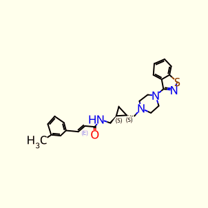 Cc1cccc(/C=C/C(=O)NC[C@H]2C[C@@H]2CN2CCN(c3nsc4ccccc34)CC2)c1